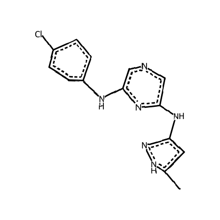 Cc1cc(Nc2cncc(Nc3ccc(Cl)cc3)n2)n[nH]1